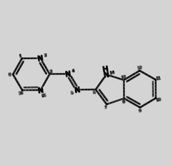 c1cnc(N=Nc2cc3ccccc3[nH]2)nc1